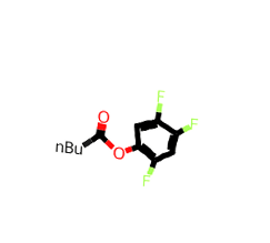 CCCCC(=O)Oc1cc(F)c(F)cc1F